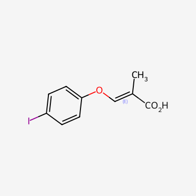 C/C(=C\Oc1ccc(I)cc1)C(=O)O